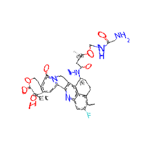 CC[C@@]1(O)C(=O)OCc2c1cc1n(c2=O)Cc2c-1nc1cc(F)c(C)c3c1c2[C@@H](NC(=O)C[C@H](C)OCNC(=O)CN)CC3